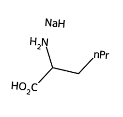 CCCCC(N)C(=O)O.[NaH]